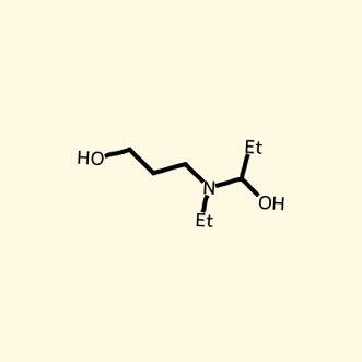 CCC(O)N(CC)CCCO